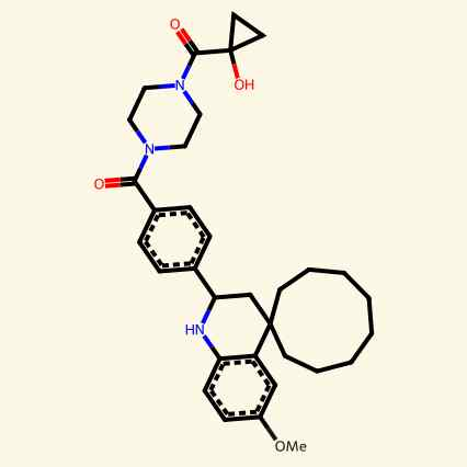 COc1ccc2c(c1)C1(CCCCCCCC1)CC(c1ccc(C(=O)N3CCN(C(=O)C4(O)CC4)CC3)cc1)N2